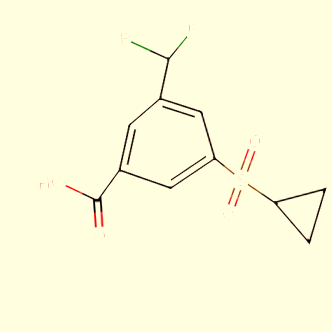 O=C(O)c1cc(C(F)F)cc(S(=O)(=O)C2CC2)c1